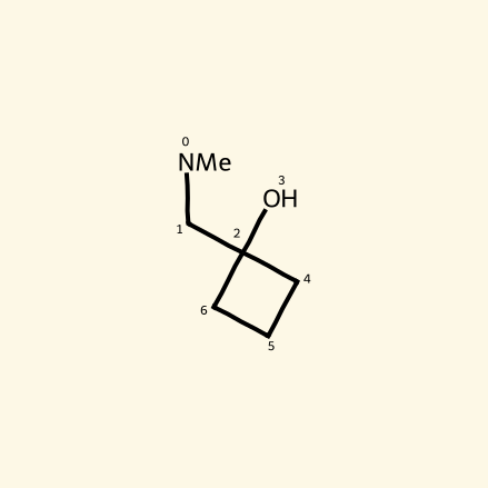 [CH2-][NH2+]CC1(O)CCC1